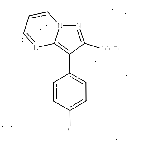 CCOC(=O)c1nn2cccnc2c1-c1ccc(Cl)cc1